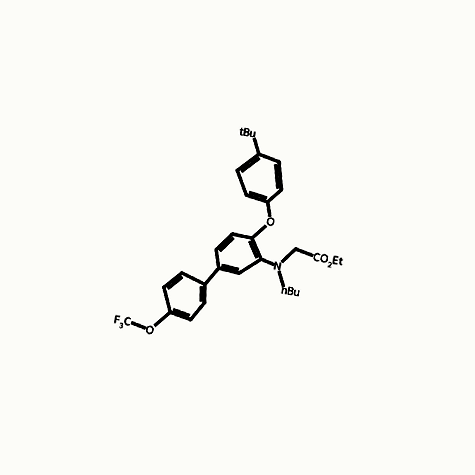 CCCCN(CC(=O)OCC)c1cc(-c2ccc(OC(F)(F)F)cc2)ccc1Oc1ccc(C(C)(C)C)cc1